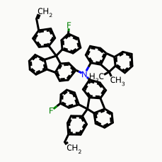 C=Cc1ccc(C2(c3cccc(F)c3)c3ccccc3-c3ccc(N(c4ccc5c(c4)C(c4ccc(C=C)cc4)(c4cccc(F)c4)c4ccccc4-5)c4cccc5c4C(C)(C)c4ccccc4-5)cc32)cc1